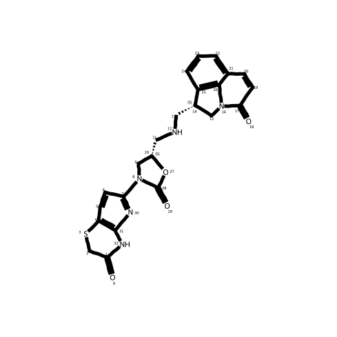 O=C1CSc2ccc(N3C[C@H](CNC[C@H]4Cn5c(=O)ccc6cccc4c65)OC3=O)nc2N1